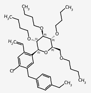 C=Cc1cc(Cl)c(Cc2ccc(CC)cc2)cc1[C@@H]1O[C@H](COCCCC)[C@@H](OCCCC)[C@H](OCCCC)[C@H]1OCCCC